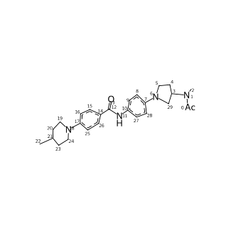 CC(=O)N(C)C1CCN(c2ccc(NC(=O)c3ccc(N4CCC(C)CC4)cc3)cc2)C1